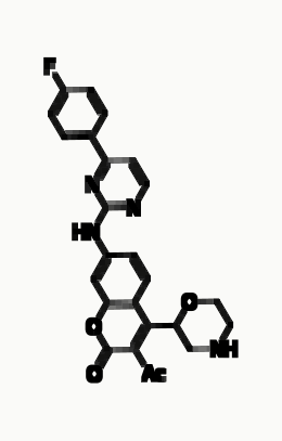 CC(=O)c1c(C2CNCCO2)c2ccc(Nc3nccc(-c4ccc(F)cc4)n3)cc2oc1=O